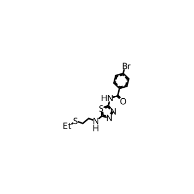 CCSCCNc1nnc(NC(=O)c2ccc(Br)cc2)s1